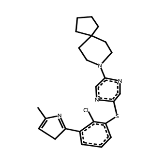 CC1=CCC(c2cccc(Sc3cnc(N4CCC5(CCCC5)CC4)cn3)c2Cl)=N1